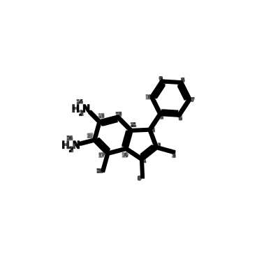 CC1=C(C)C(c2ccccc2)c2cc(N)c(N)c(C)c21